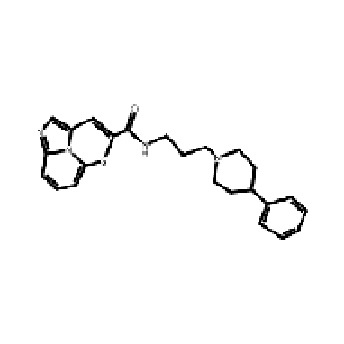 O=C(NCCCN1CCC(c2ccccc2)CC1)C1=Cc2cnc3cccc(n23)S1